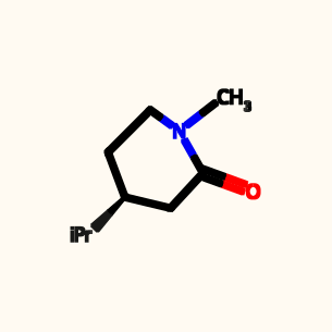 CC(C)[C@H]1CCN(C)C(=O)C1